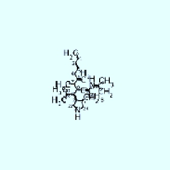 C=CC=CCC(=C)C(C)C(=C=C(C)NC(=C)C)/C(C(=C)C)=C1/CNCC1=C